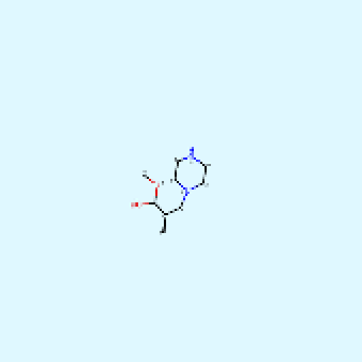 COC(O)[C@H](C)CN1CCNCC1